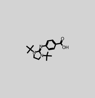 CC(C)(C)N1CCN(C(C)(C)C)C1=Nc1ccc(C(=O)O)cc1